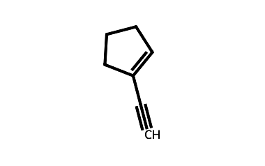 C#CC1=CCCC1